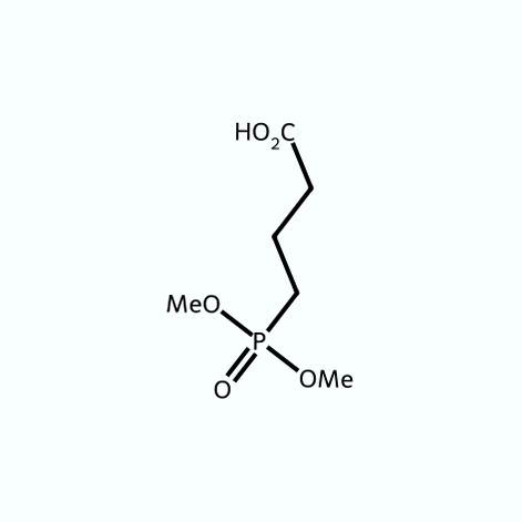 COP(=O)(CCCC(=O)O)OC